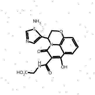 N.O=C(O)CNC(=O)c1c(O)c2cccc3c2n(c1=O)C(c1cncs1)CO3